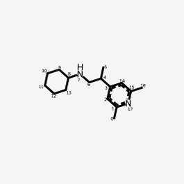 Cc1cc(C(C)CNC2CCCCC2)cc(C)n1